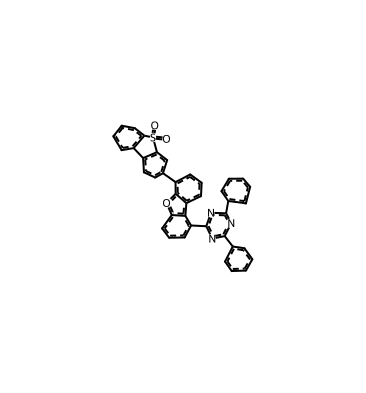 O=S1(=O)c2ccccc2-c2ccc(-c3cccc4c3oc3cccc(-c5nc(-c6ccccc6)nc(-c6ccccc6)n5)c34)cc21